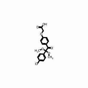 COC(OC)(C(=O)c1ccc(OCC(=O)O)cc1)c1ccc(Cl)cc1